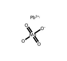 [O]=[Mo](=[O])([O-])[O-].[Pb+2]